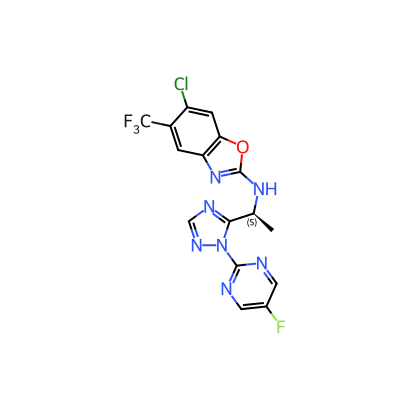 C[C@H](Nc1nc2cc(C(F)(F)F)c(Cl)cc2o1)c1ncnn1-c1ncc(F)cn1